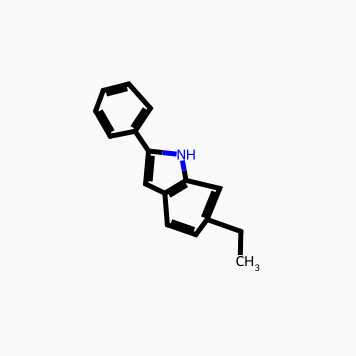 CCc1ccc2cc(-c3ccccc3)[nH]c2c1